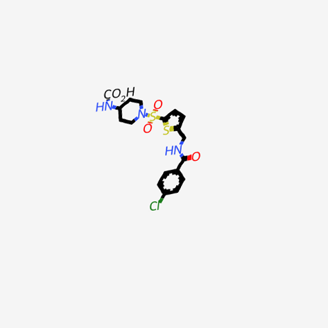 O=C(O)NC1CCN(S(=O)(=O)c2ccc(CNC(=O)c3ccc(Cl)cc3)s2)CC1